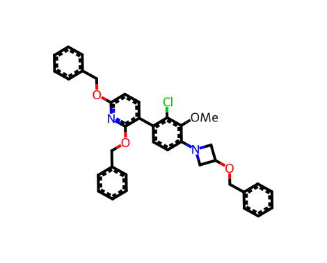 COc1c(N2CC(OCc3ccccc3)C2)ccc(-c2ccc(OCc3ccccc3)nc2OCc2ccccc2)c1Cl